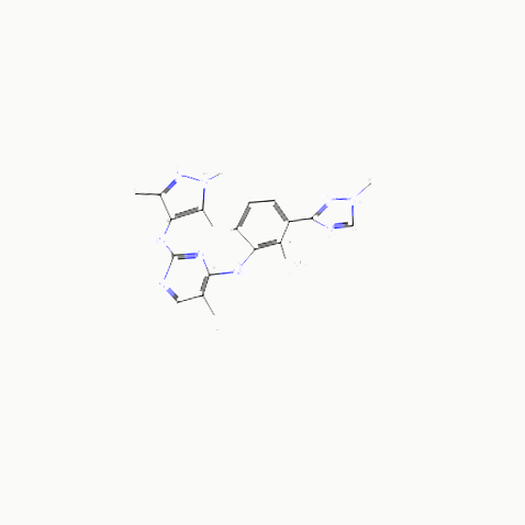 CCOC(=O)c1cnc(Nc2c(C)nn(CC)c2C)nc1Nc1cccc(-c2ncn(C)n2)c1OC